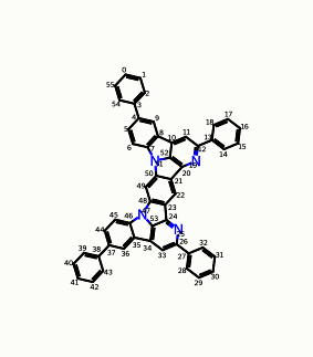 c1ccc(-c2ccc3c(c2)c2cc(-c4ccccc4)nc4c5cc6c7nc(-c8ccccc8)cc8c9cc(-c%10ccccc%10)ccc9n(c6cc5n3c24)c87)cc1